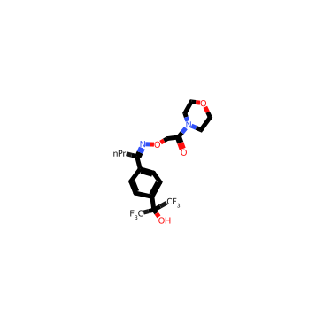 CCCC(=NOCC(=O)N1CCOCC1)c1ccc(C(O)(C(F)(F)F)C(F)(F)F)cc1